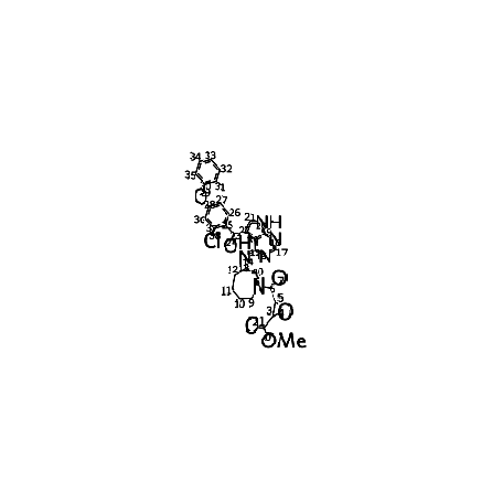 COC(=O)C1OC1C(=O)N1CCCCC(Nc2ncnc3[nH]cc(C(=O)c4ccc(Oc5ccccc5)cc4Cl)c23)C1